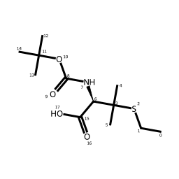 CCSC(C)(C)[C@H](NC(=O)OC(C)(C)C)C(=O)O